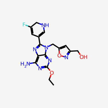 CCOc1nc(N)c2nc(C3=CNCC(F)=C3)n(Cc3cc(CO)no3)c2n1